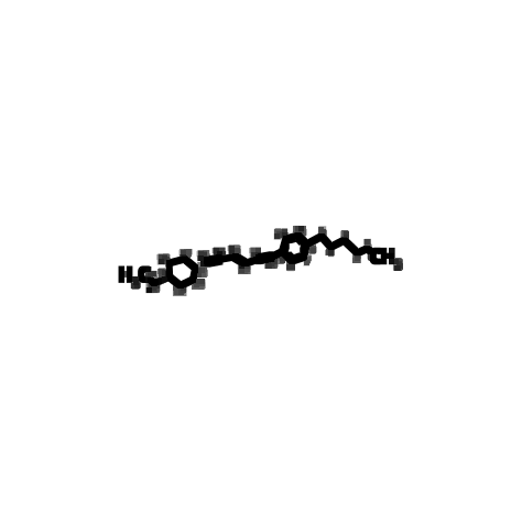 CCCCCCc1ccc(C#C/C=C/C#C[C@H]2CC[C@H](CC)CC2)cc1